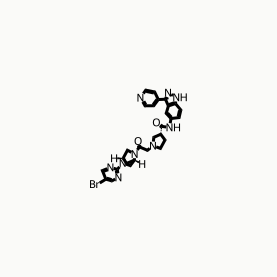 O=C(Nc1ccc2[nH]nc(-c3ccncc3)c2c1)[C@@H]1CCN(CC(=O)N2C[C@@H]3C[C@H]2CN3c2ncc(Br)cn2)C1